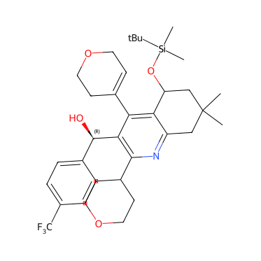 CC1(C)Cc2nc(C3CCOCC3)c([C@H](O)c3ccc(C(F)(F)F)cc3)c(C3=CCOCC3)c2C(O[Si](C)(C)C(C)(C)C)C1